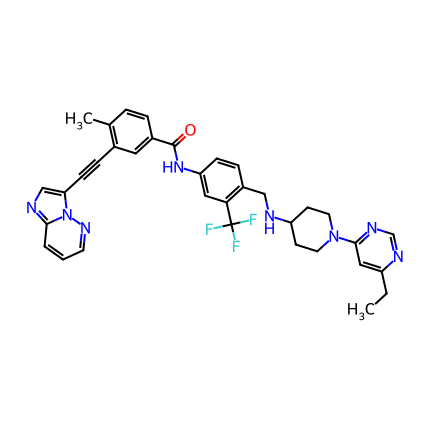 CCc1cc(N2CCC(NCc3ccc(NC(=O)c4ccc(C)c(C#Cc5cnc6cccnn56)c4)cc3C(F)(F)F)CC2)ncn1